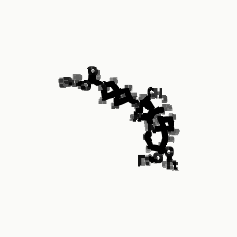 CCOC1(OCC)CCN(c2nn(C3CC4(C3)CN(C(=O)OC(C)(C)C)C4)c(C)c2I)C2(CCC2)C1